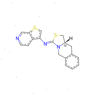 c1ccc2c(c1)C[C@H]1CSC(=Nc3csc4cnccc34)N1C2